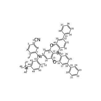 Cc1ccc(C#N)cc1N(c1cc2c3c(c1)Oc1cc(-c4ccccc4)ccc1B3c1ccc(-c3ccccc3)cc1O2)c1cc([Si](C)(C)C)ccc1C